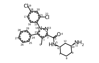 Cc1c(C(=O)N[C@@H]2CCC[C@H](N)C2)nn(-c2ccc(Cl)cc2Cl)c1-c1cc[c]cc1